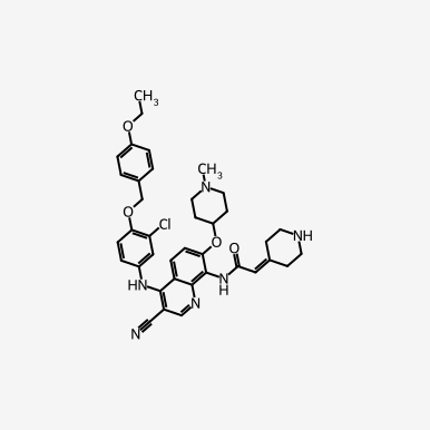 CCOc1ccc(COc2ccc(Nc3c(C#N)cnc4c(NC(=O)C=C5CCNCC5)c(OC5CCN(C)CC5)ccc34)cc2Cl)cc1